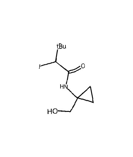 CC(C)(C)C(I)C(=O)NC1(CO)CC1